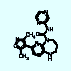 Cc1noc(C)c1-c1ccc2c(n1)N(C(=O)Nc1cnccn1)CCCN2